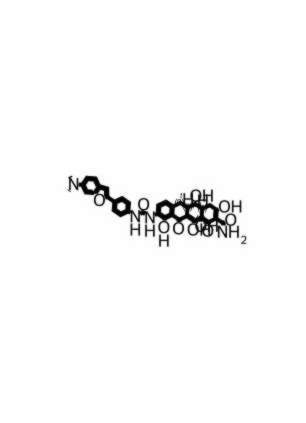 C[C@H]1c2ccc(NC(=O)Nc3ccc(-c4cc5ccc(N(C)C)cc5o4)cc3)c(O)c2C(=O)C2=C(O)[C@]3(O)C(=O)C(C(N)=O)=C(O)C[C@@H]3[C@@H](O)[C@@H]21